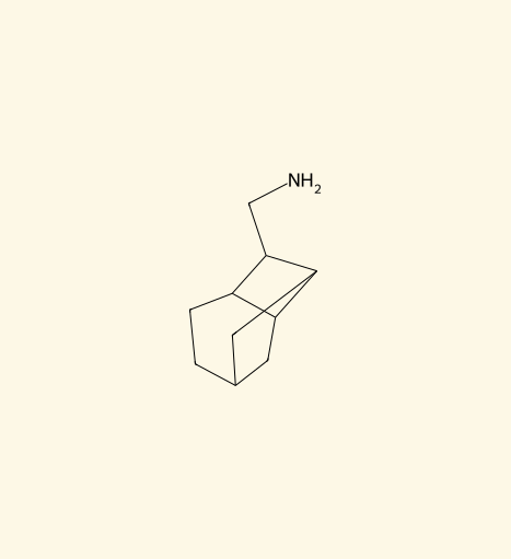 NCC1C2CCC3CC1C2C3